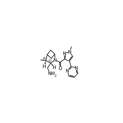 C[C@@H]1C2CC(C2)N(C(=O)c2nn(C)cc2-c2ncccn2)[C@@H]1CN